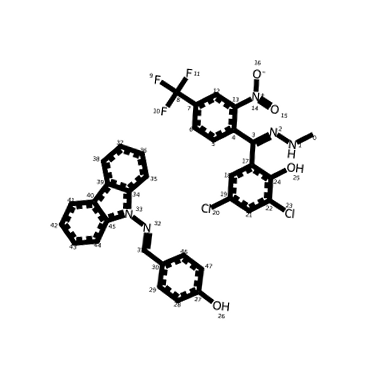 CNN=C(c1ccc(C(F)(F)F)cc1[N+](=O)[O-])c1cc(Cl)cc(Cl)c1O.Oc1ccc(C=Nn2c3ccccc3c3ccccc32)cc1